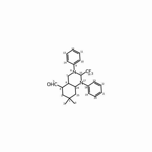 CC1(C)CC(C=O)C2CN(c3ccccc3)C(C(F)(F)F)N(c3ccccc3)C2C1